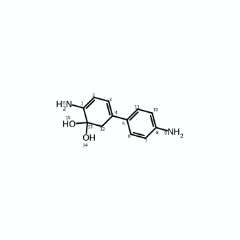 NC1=CC=C(c2ccc(N)cc2)CC1(O)O